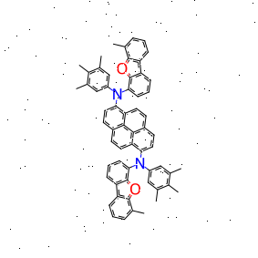 Cc1cc(N(c2ccc3ccc4c(N(c5cc(C)c(C)c(C)c5)c5cccc6c5oc5c(C)cccc56)ccc5ccc2c3c54)c2cccc3c2oc2c(C)cccc23)cc(C)c1C